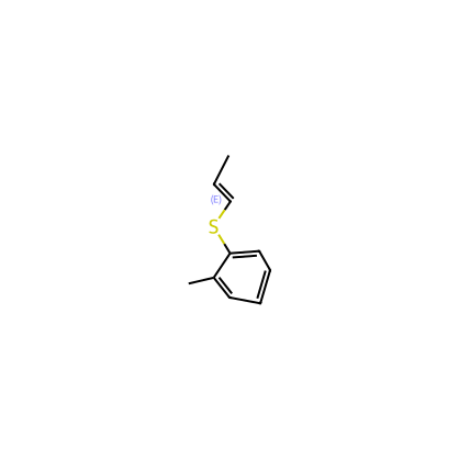 C/C=C/Sc1ccccc1C